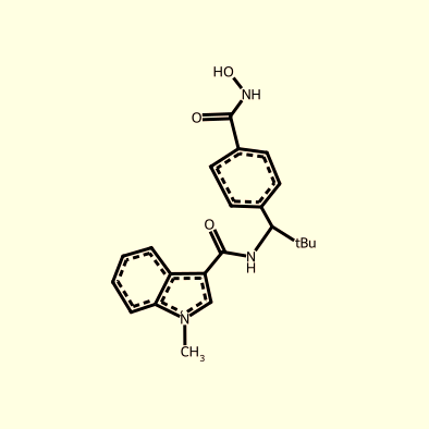 Cn1cc(C(=O)NC(c2ccc(C(=O)NO)cc2)C(C)(C)C)c2ccccc21